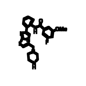 COc1cc(F)cc(C(=O)Nc2ccccc2-c2cn3c(CN4CCNCC4)csc3n2)c1